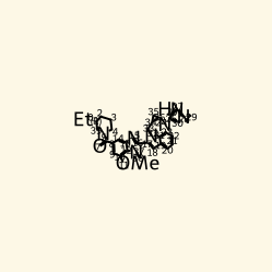 CC[C@@H]1CCCN(C(=O)c2cc(OC)c3c(c2)nc(-c2cc4cccc(Nc5cnn(C)c5)c4n2CC2CC2)n3C)C1